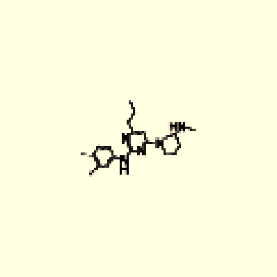 CCCc1cc(N2CCCC(NC)C2)nc(Nc2ccc(C)c(C)c2)n1